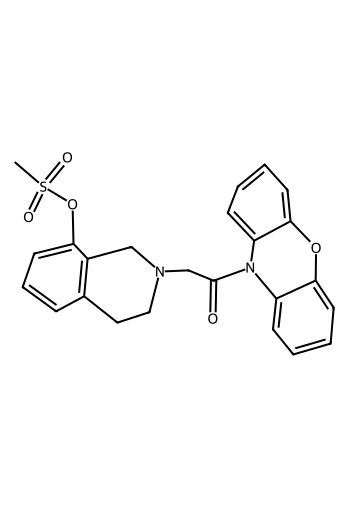 CS(=O)(=O)Oc1cccc2c1CN(CC(=O)N1c3ccccc3Oc3ccccc31)CC2